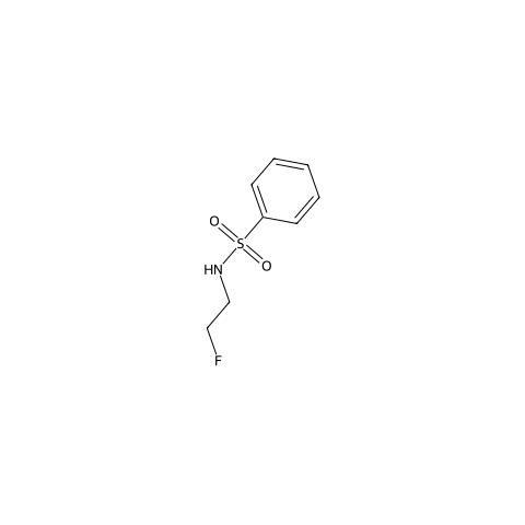 O=S(=O)(NCCF)c1ccccc1